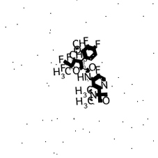 COc1c([C@H]2[C@H](C(=O)Nc3cc(C4(N(C)C)COC4)ncc3F)O[C@@](C)(C(F)(F)F)[C@H]2C)ccc(F)c1F